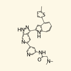 Cc1ccc(C2=CC=C=Cc3[nH]c(-c4n[nH]c5cnc(-c6cncc(NC(=O)CN(C)C)c6)cc45)cc32)s1